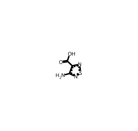 Nc1nsnc1C(=O)O